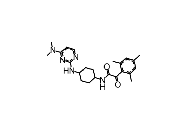 Cc1cc(C)c(C(=O)C(=O)NC2CCC(Nc3nccc(N(C)C)n3)CC2)c(C)c1